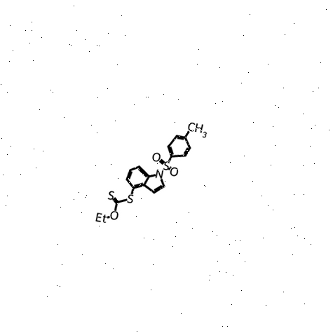 CCOC(=S)Sc1cccc2c1ccn2S(=O)(=O)c1ccc(C)cc1